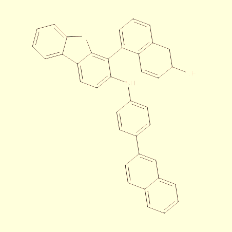 CC1C=Cc2c(cccc2-c2c(Nc3ccc(-c4ccc5ccccc5c4)cc3)ccc3c2sc2ccccc23)C1